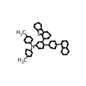 Cc1ccc(N(c2ccc(C)cc2)c2ccc(-c3ccc(-c4cccc5ccccc45)cc3)c(-c3cccc4c3sc3ccccc34)c2)cc1